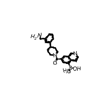 NCc1cccc(C2CCN(C(=O)c3cc(B(O)O)c4ccncc4c3)CC2)c1